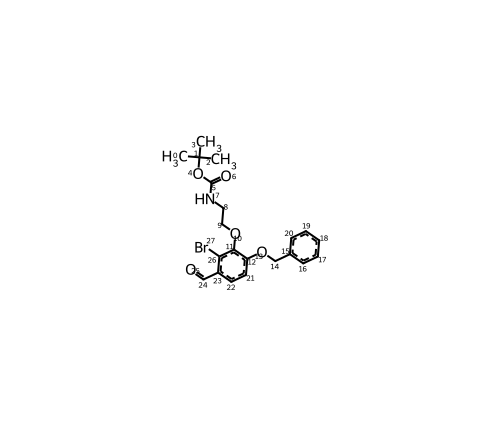 CC(C)(C)OC(=O)NCCOc1c(OCc2ccccc2)ccc(C=O)c1Br